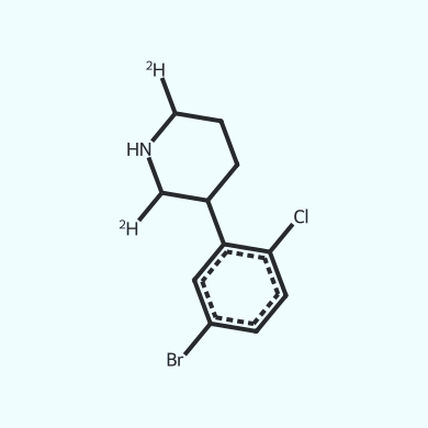 [2H]C1CCC(c2cc(Br)ccc2Cl)C([2H])N1